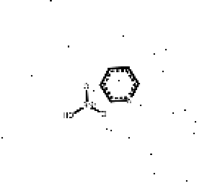 [O-][Br+2]([O-])O.c1ccncc1